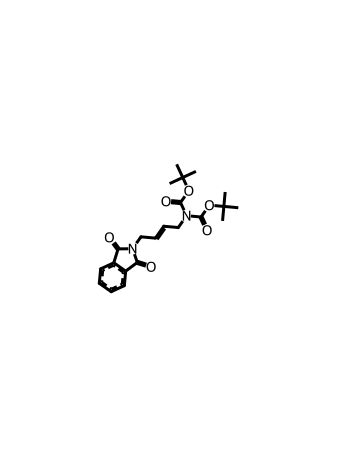 CC(C)(C)OC(=O)N(C/C=C/CN1C(=O)c2ccccc2C1=O)C(=O)OC(C)(C)C